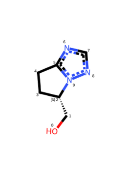 OC[C@@H]1CCc2ncnn21